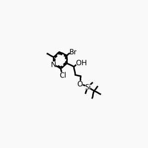 Cc1cc(Br)c(C(O)CCO[Si](C)(C)C(C)(C)C)c(Cl)n1